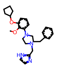 COc1c(OC2CCCC2)cccc1N1CCN(Cc2ncc[nH]2)C(Cc2ccccc2)C1